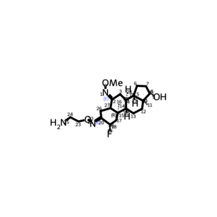 CO/N=C1\C[C@H]2[C@@H]3CC[C@H](O)[C@@]3(C)CC[C@@H]2[C@@]2(C)C[C@@H](F)/C(=N/OCCN)CC12